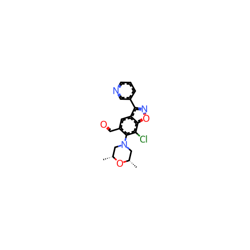 C[C@@H]1CN(c2c(C=O)cc3c(-c4cccnc4)noc3c2Cl)C[C@H](C)O1